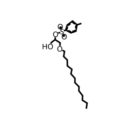 CCCCCCCCCCCCCCOCC(CO)OS(=O)(=O)c1ccc(C)cc1